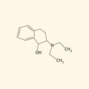 CCN(CC)C1CCc2ccccc2C1O